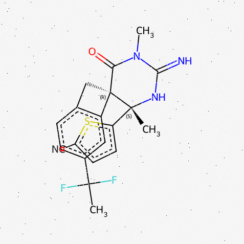 CN1C(=N)N[C@](C)(c2ccc(C#N)s2)[C@]2(Cc3ccc(C(C)(F)F)cc32)C1=O